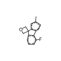 Cc1ccc2c(c1)C1(COC1)c1cccc(F)c1-2